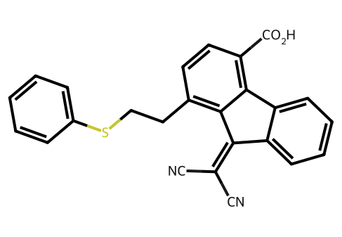 N#CC(C#N)=C1c2ccccc2-c2c(C(=O)O)ccc(CCSc3ccccc3)c21